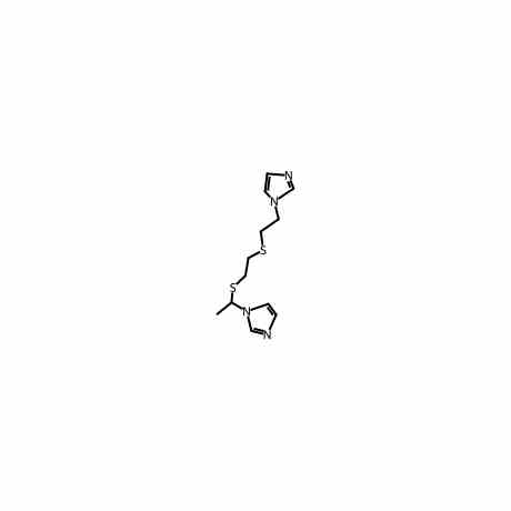 CC(SCCSCCn1ccnc1)n1ccnc1